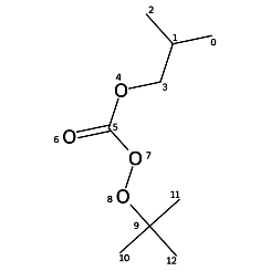 CC(C)COC(=O)OOC(C)(C)C